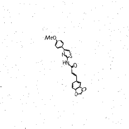 COc1ccc(-c2csc(NC(=O)/C=C/c3ccc4c(c3)OCO4)n2)cc1